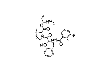 C=CC(N)OC(=O)[C@H]1N(C(=O)[C@@H](O)[C@H](Cc2ccccc2)NC(=O)c2cccc(F)c2C)CSC1(C)C